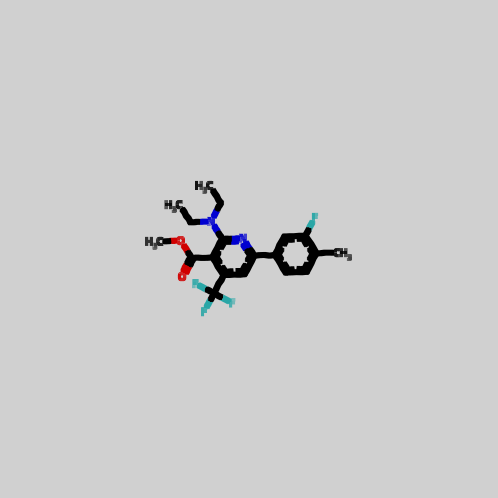 CCN(CC)c1nc(-c2ccc(C)c(F)c2)cc(C(F)(F)F)c1C(=O)OC